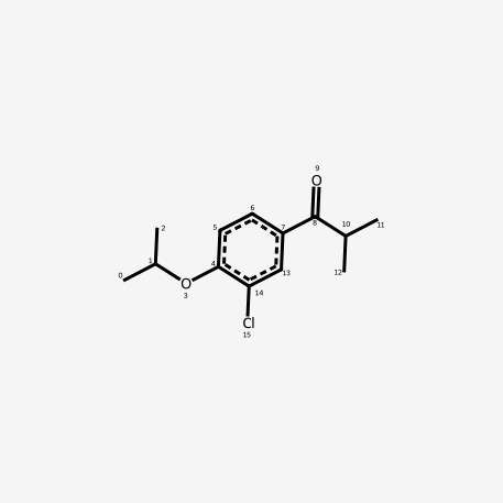 CC(C)Oc1ccc(C(=O)C(C)C)cc1Cl